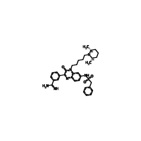 C[C@@H]1CCC[C@H](C)N1CCCCCn1c(=O)c(-c2cccc(C(=N)N)c2)nc2ccc(NS(=O)(=O)Cc3ccccc3)cc21